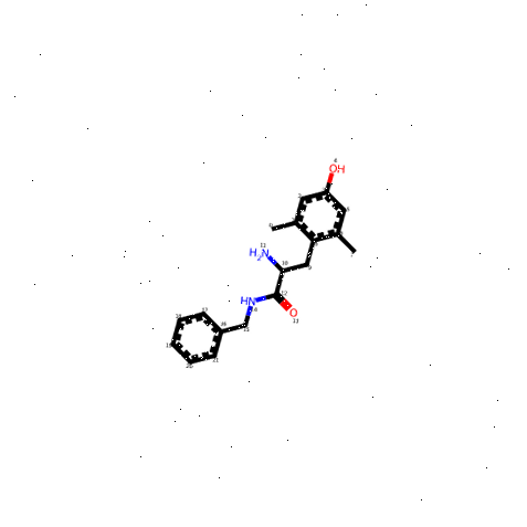 Cc1cc(O)cc(C)c1CC(N)C(=O)NCc1ccccc1